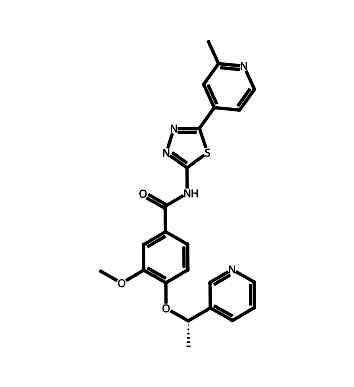 COc1cc(C(=O)Nc2nnc(-c3ccnc(C)c3)s2)ccc1O[C@@H](C)c1cccnc1